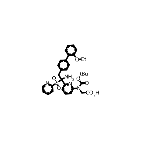 CCOc1ccccc1-c1ccc(CC(N)(c2cccc(N(CC(=O)O)C(=O)OC(C)(C)C)n2)S(=O)(=O)c2ccccn2)cc1